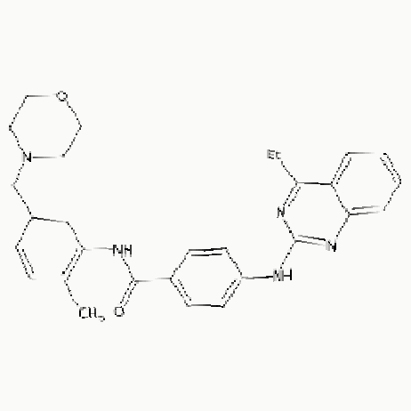 CCc1nc(Nc2ccc(C(=O)Nc3cc(CN4CCOCC4)ccc3C)cc2)nc2ccccc12